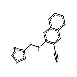 N#Cc1cc2ccccc2nc1NCc1cnc[nH]1